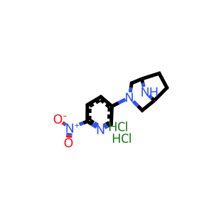 Cl.Cl.O=[N+]([O-])c1ccc(N2CC3CCC(C2)N3)cn1